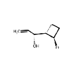 C=C[C@@H](O)[C@@H]1CC[C@H]1CC